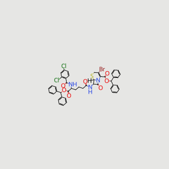 O=C(CCCC(NC(=O)c1ccc(Cl)cc1Cl)C(=O)OC(c1ccccc1)c1ccccc1)NC1C(=O)N2C(C(=O)OC(c3ccccc3)c3ccccc3)=C(Br)CS[C@@H]12